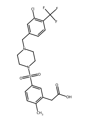 Cc1ccc(S(=O)(=O)N2CCN(Cc3ccc(C(F)(F)F)c(Cl)c3)CC2)cc1CC(=O)O